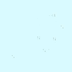 CC(C)(C)c1cn(-c2cc(C#N)ccn2)c2ncnc(O)c12